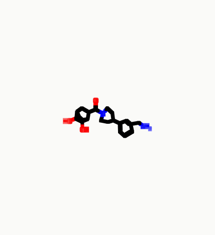 NCc1cccc(C2CCN(C(=O)C3CC4CCC3C(O)C4O)CC2)c1